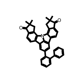 CC1(C)Cc2c(ccc3c4cc(-c5ccccc5-c5ccccc5)cc5c6ccc7c(c6n(c23)c45)CC(C)(C)C7=O)C1=O